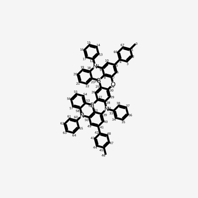 Cc1ccc(-c2cc3c4c(c2)N(c2ccccc2)c2ccccc2B4c2cc4c(cc2O3)N(c2ccccc2)c2cc(-c3ccc(C)cc3)cc3c2B4c2ccccc2N3c2ccccc2)cc1